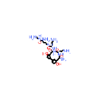 NCCC[C@@H]1NC(=O)[C@@H](N)Cc2cc(ccc2O)-c2ccc(O)c(c2)C[C@@H](C(=O)N[C@H](CCCN)C(=O)NCCC[C@H](N)C(=O)NCCN)NC1=O